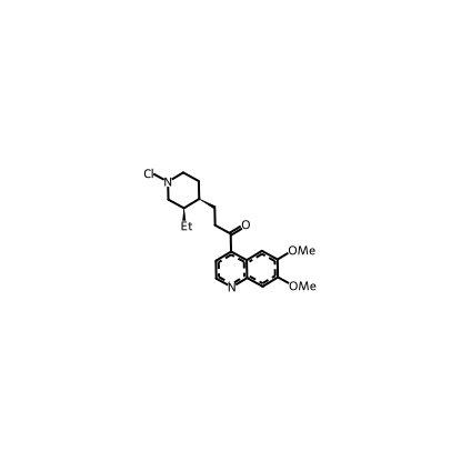 CC[C@H]1CN(Cl)CC[C@H]1CCC(=O)c1ccnc2cc(OC)c(OC)cc12